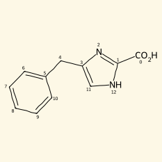 O=C(O)c1nc(Cc2ccccc2)c[nH]1